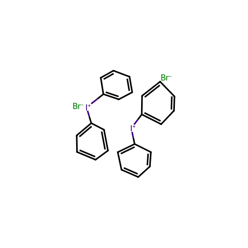 [Br-].[Br-].c1ccc([I+]c2ccccc2)cc1.c1ccc([I+]c2ccccc2)cc1